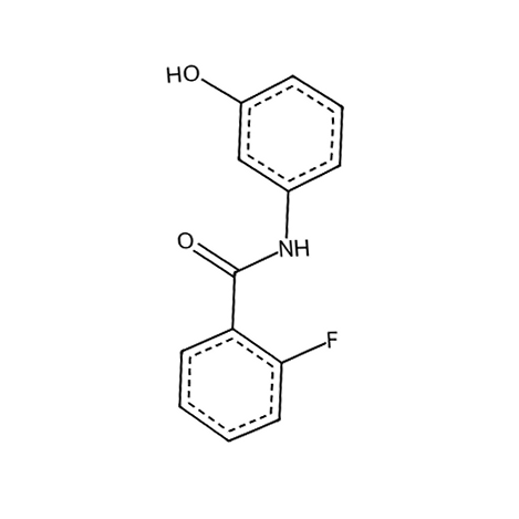 O=C(Nc1cccc(O)c1)c1ccccc1F